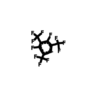 Fc1c(C(F)(F)F)[c]c(C(F)(F)F)c(F)c1C(F)(F)F